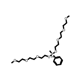 COCCOCCOCCO[PH](C)(OCCOCCOCCOC)c1ccccc1